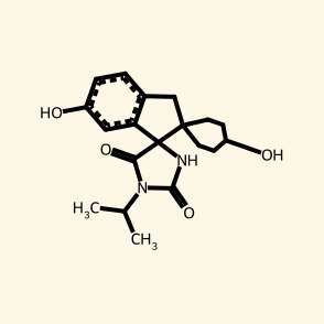 CC(C)N1C(=O)NC2(C1=O)c1cc(O)ccc1CC21CCC(O)CC1